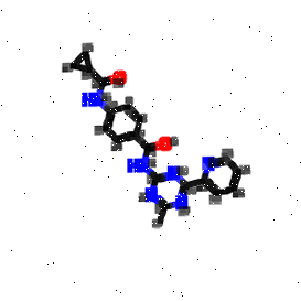 Cc1nc(NC(=O)c2ccc(NC(=O)C3CC3)cc2)nc(-c2ccccn2)n1